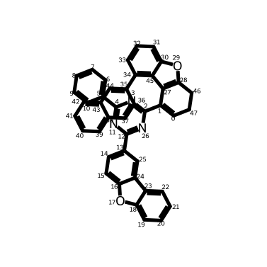 C1=C(c2nc(-c3ccccc3)nc(-c3ccc4oc5ccccc5c4c3)n2)c2c(oc3cccc(-c4ccc5ccccc5c4)c23)CC1